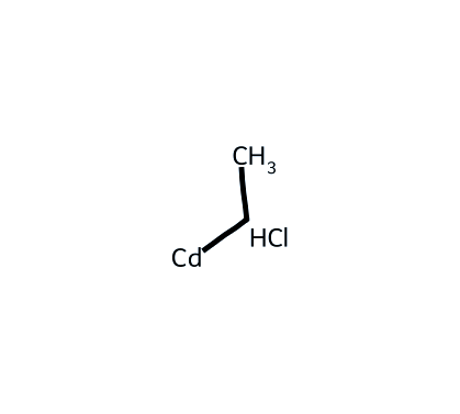 C[CH2][Cd].Cl